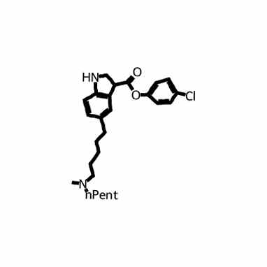 CCCCCN(C)CCCCCc1ccc2c(c1)C(C(=O)Oc1ccc(Cl)cc1)CN2